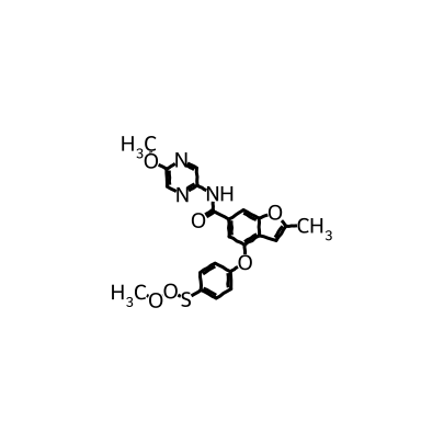 COOSc1ccc(Oc2cc(C(=O)Nc3cnc(OC)cn3)cc3oc(C)cc23)cc1